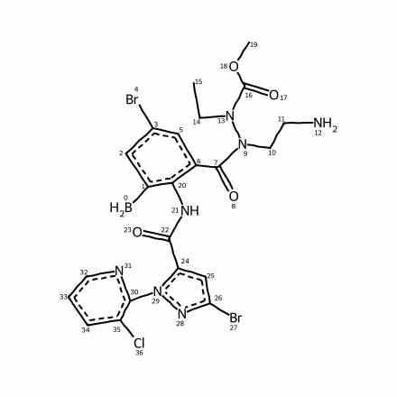 Bc1cc(Br)cc(C(=O)N(CCN)N(CC)C(=O)OC)c1NC(=O)c1cc(Br)nn1-c1ncccc1Cl